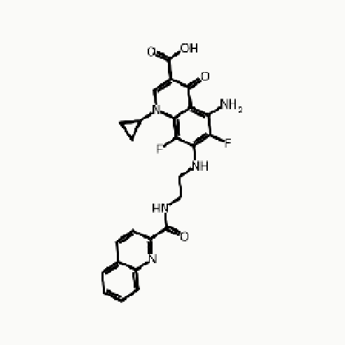 Nc1c(F)c(NCCNC(=O)c2ccc3ccccc3n2)c(F)c2c1c(=O)c(C(=O)O)cn2C1CC1